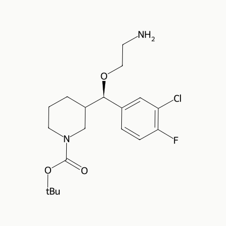 CC(C)(C)OC(=O)N1CCCC([C@@H](OCCN)c2ccc(F)c(Cl)c2)C1